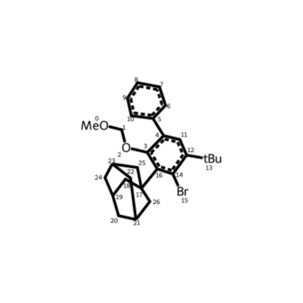 COCOc1c(-c2ccccc2)cc(C(C)(C)C)c(Br)c1C12CC3CC(CC(C3)C1)C2